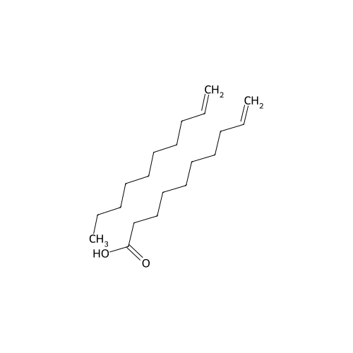 C=CCCCCCCCC.C=CCCCCCCCC(=O)O